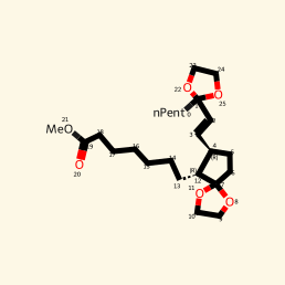 CCCCCC1(C=C[C@H]2CCC3(OCCO3)[C@@H]2CCCCCCC(=O)OC)OCCO1